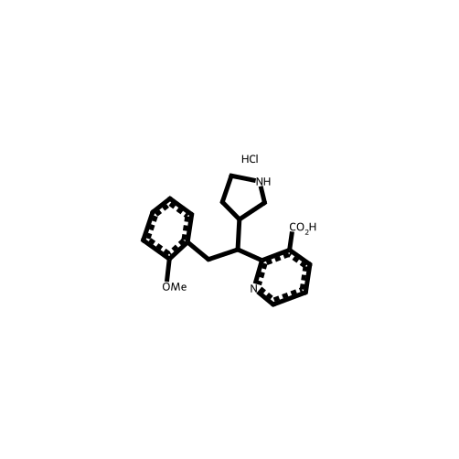 COc1ccccc1CC(c1ncccc1C(=O)O)C1CCNC1.Cl